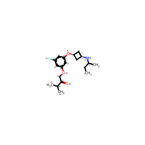 CCC(C)N[C@H]1C[C@@H](Oc2cc(F)cc(OCC(=O)C(C)C)c2)C1